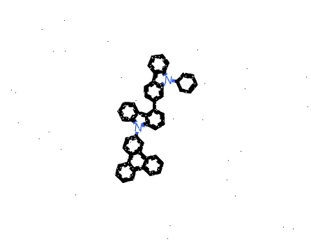 C1=CCC(n2c3ccccc3c3ccc(-c4cccc5c4c4ccccc4n5-c4ccc5c6ccccc6c6ccccc6c5c4)cc32)C=C1